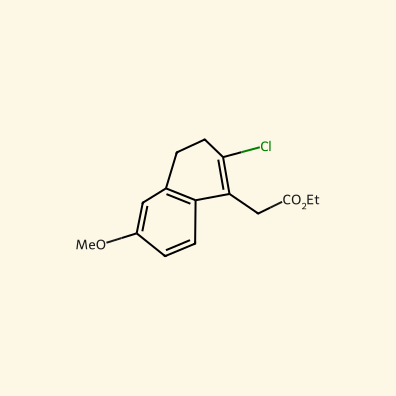 CCOC(=O)CC1=C(Cl)CCc2cc(OC)ccc21